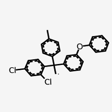 [CH2]C(c1ccc(C)cc1)(c1cccc(Oc2ccccc2)c1)c1ccc(Cl)cc1Cl